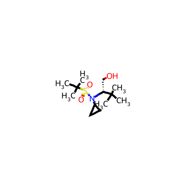 CC(C)(C)[C@@H](CO)N(C1CC1)S(=O)(=O)C(C)(C)C